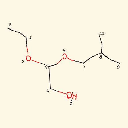 CCOC(CO)OCC(C)C